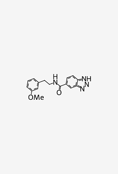 COc1cccc(CCNC(=O)c2ccc3[nH]nnc3c2)c1